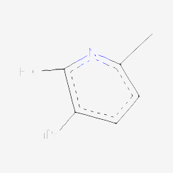 Cc1ccc(C(C)C)c(C(F)(F)F)n1